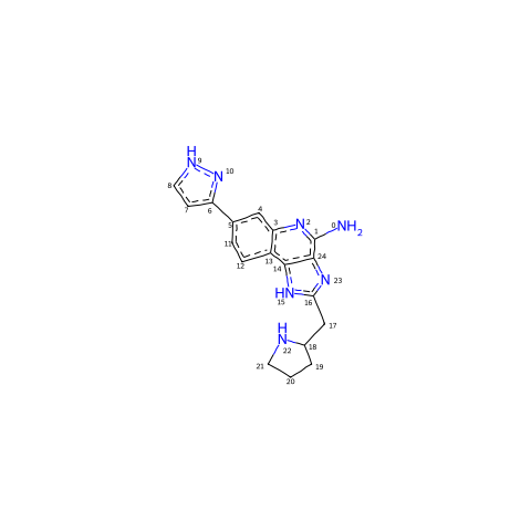 Nc1nc2cc(-c3cc[nH]n3)ccc2c2[nH]c(CC3CCCN3)nc12